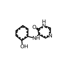 O=c1[nH]cncc1Nc1ccccc1O